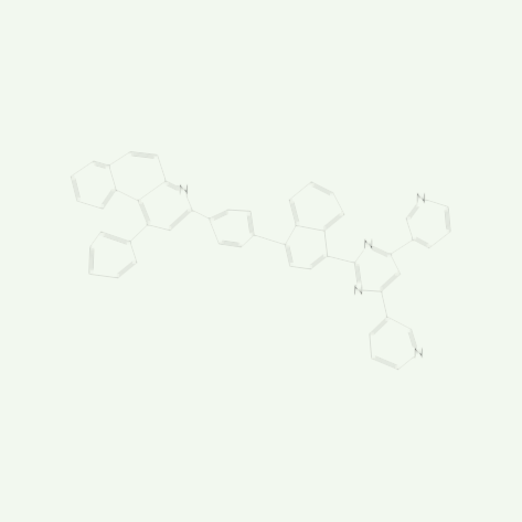 c1ccc(-c2cc(-c3ccc(-c4ccc(-c5nc(-c6cccnc6)cc(-c6cccnc6)n5)c5ccccc45)cc3)nc3ccc4ccccc4c23)cc1